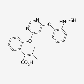 CC(C)=C(C(=O)O)c1ccccc1Oc1cc(Oc2ccccc2NS)ncn1